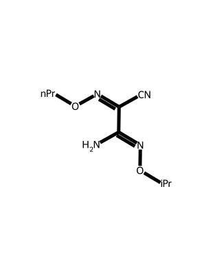 CCCO/N=C(C#N)\C(N)=N\OC(C)C